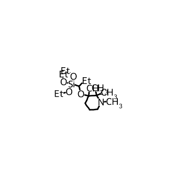 CCO[Si](OCC)(OCC)C(CC)OC1(C)CCCN(C)C1(C)C